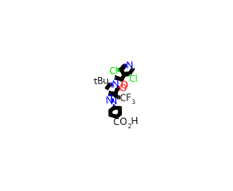 C[C@@H](N(CC(=O)c1c(Cl)cncc1Cl)C(=O)c1cnn([C@H]2CC[C@H](C(=O)O)CC2)c1C(F)(F)F)C(C)(C)C